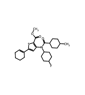 COC(=O)c1sc(C2=CCCCC2)cc1N(C(=O)C1CCC(C)CC1)C1CCC(F)CC1